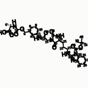 C[C@H](NC(=O)OCc1cccc(NC(=O)CN2C(=O)N[C@@H](CCCNc3nc4ccccc4n3C(=O)OC(C)(C)C)C2=O)c1)C(=O)O